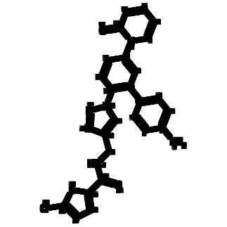 Nc1ccc(-c2cc(-n3ccccc3=O)ccc2-n2cc(CNC(=O)c3ccc(Cl)s3)nn2)cc1